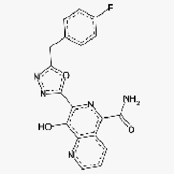 NC(=O)c1nc(-c2nnc(Cc3ccc(F)cc3)o2)c(O)c2ncccc12